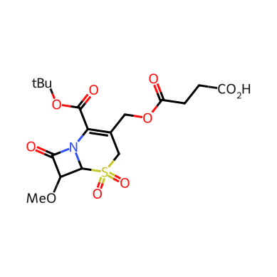 COC1C(=O)N2C(C(=O)OC(C)(C)C)=C(COC(=O)CCC(=O)O)CS(=O)(=O)C12